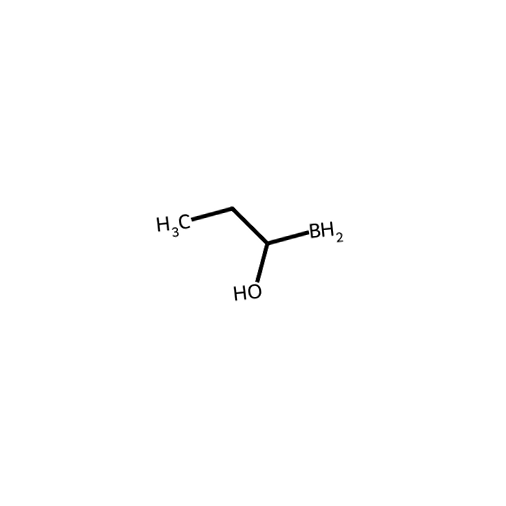 BC(O)CC